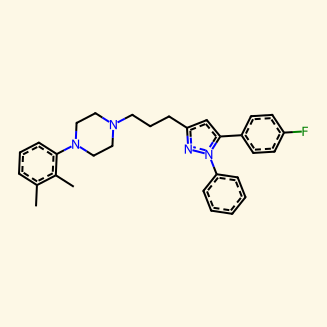 Cc1cccc(N2CCN(CCCc3cc(-c4ccc(F)cc4)n(-c4ccccc4)n3)CC2)c1C